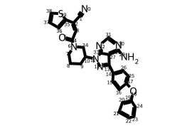 N#CC(=CC(=O)N1CCCC(n2nc(-c3ccc(Oc4ccccc4)cc3)c3c(N)ncnc32)C1)c1cccs1